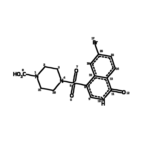 O=C(O)N1CCN(S(=O)(=O)c2c[nH]c(=O)c3ccc(Br)cc23)CC1